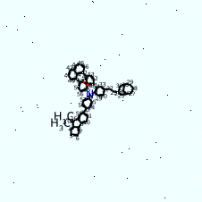 CC1(C)c2ccccc2-c2ccc(-c3ccc(N(c4ccc(CCC5CC6CCCC(C6)C5)cc4)c4ccc(-c5cccc6cccc(-c7ccccc7)c56)cc4)cc3)cc21